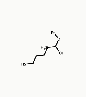 CCOC(O)[SiH2]CCCS